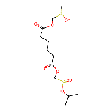 CC(C)OS(=O)COC(=O)CCCCC(=O)OC[S+](C)[O-]